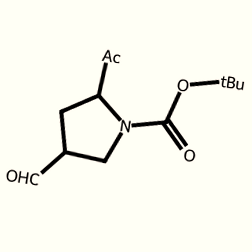 CC(=O)C1CC(C=O)CN1C(=O)OC(C)(C)C